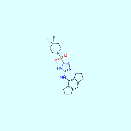 O=S(=O)(c1nnc(Nc2c3c(cc4c2CCC4)CCC3)[nH]1)N1CCC(F)(F)CC1